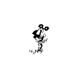 C=CC1=C(C(=O)OC(c2ccccc2)c2ccccc2)N2C(=O)C(NC(=O)Cc3noc(N)n3)[C@H]2SC1